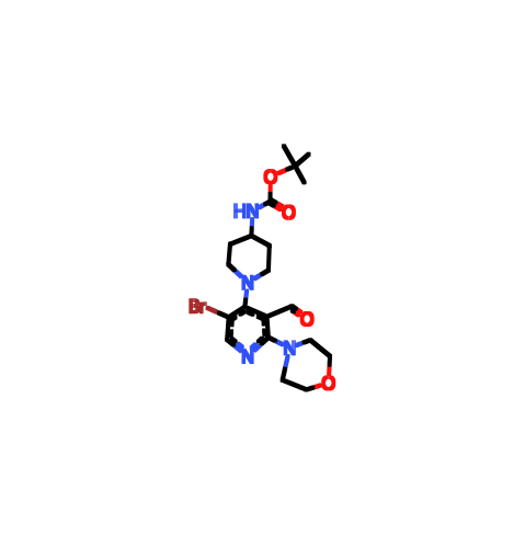 CC(C)(C)OC(=O)NC1CCN(c2c(Br)cnc(N3CCOCC3)c2C=O)CC1